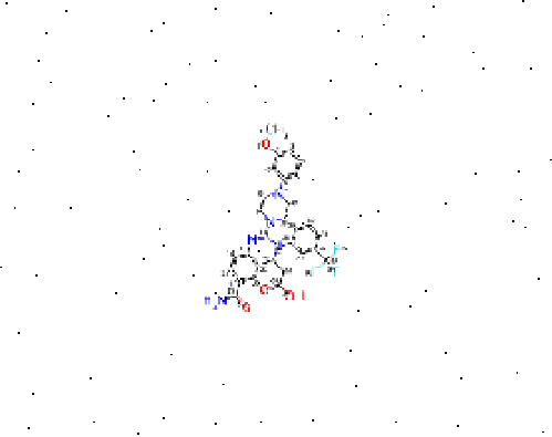 COc1cccc(N2CCN(C3=Nc4ccc(C(N)=O)cc4C(CC(=O)O)N3c3cccc(C(F)(F)F)c3)CC2)c1